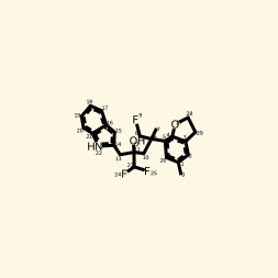 Cc1cc2c(c(C(C)(CF)CC(O)(Cc3cc4ccccc4[nH]3)C(F)F)c1)OCC2